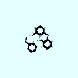 CCc1ccccc1.Sc1cccc2c1Sc1ccccc1S2